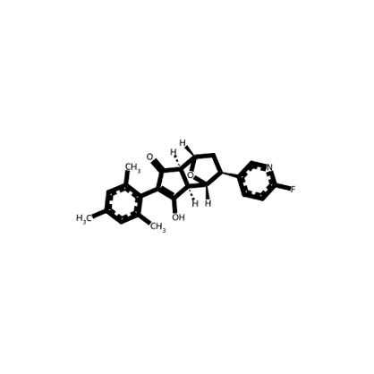 Cc1cc(C)c(C2=C(O)[C@@H]3[C@@H]4O[C@@H](C[C@H]4c4ccc(F)nc4)[C@@H]3C2=O)c(C)c1